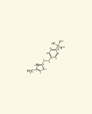 Cc1csc(CCc2ccc(C(F)(F)F)cc2)n1